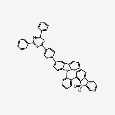 O=S1(=O)c2ccccc2-c2cccc(-c3ccccc3-n3c4ccccc4c4cc(-c5ccc(-c6nc(-c7ccccc7)nc(-c7ccccc7)n6)cc5)ccc43)c21